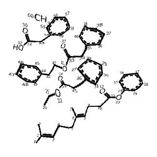 CC(C)=CCC/C(C)=C/CCC(=O)Oc1ccccc1.CCOC(=O)Cc1ccccc1.O=C(Cc1ccccc1)OCCc1ccccc1.O=C(O)Cc1ccccc1.[CH3]